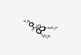 Nc1ccc(C(=O)Nc2ccc(S(=O)(=O)O)c3cc(S(=O)(=O)O)cc(O)c23)cc1